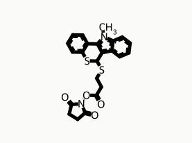 Cn1c2c(c3ccccc31)C(SCCC(=O)ON1C(=O)CCC1=O)Sc1ccccc1-2